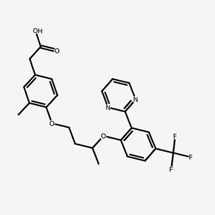 Cc1cc(CC(=O)O)ccc1OCCC(C)Oc1ccc(C(F)(F)F)cc1-c1ncccn1